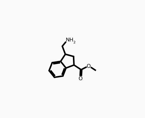 COC(=O)C1CC(CN)c2ccccc21